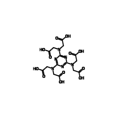 O=C(O)CN(CC(=O)O)c1nc(N(CC(=O)O)CC(=O)O)nc(N(CC(=O)O)CC(=O)O)n1